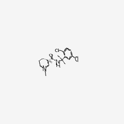 CN1CCC[C@H](C(=O)NC(C)(C)c2cc(Cl)ccc2Cl)C1